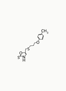 Cc1ccc(OCCCSCc2c[nH]c(=S)o2)cc1